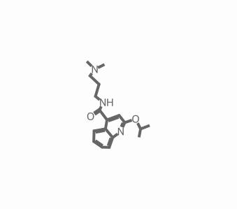 CC(C)Oc1cc(C(=O)NCCCN(C)C)c2ccccc2n1